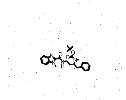 CN(C(=O)OC(C)(C)C)[C@H](CCNC(=O)c1nc2ccccc2n1C)Cc1ccccc1